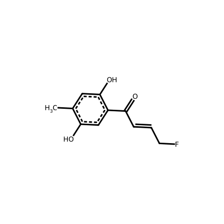 Cc1cc(O)c(C(=O)/C=C/CF)cc1O